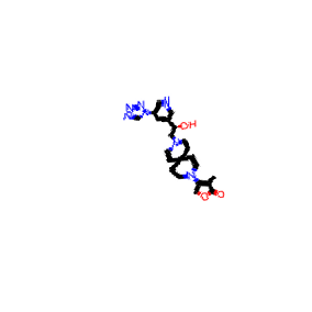 CC1=C(N2CCC3(CCN(C[C@H](O)c4cncc(-n5cnnn5)c4)CC3)CC2)COC1=O